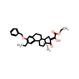 CCOC(=O)/C(O)=C1\CC2C3CCc4cc(OCc5ccccc5)c(CC)cc4C3CC[C@]2(C)C1=O